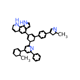 CC1=NC=C(c2ccc(C3=CC(c4cc5c(c6[nH]ccc46)NCC=C5)=CC(c4cc(C5=CC=CCC5C)cc(-c5ccccc5)n4)C3)cc2)C1